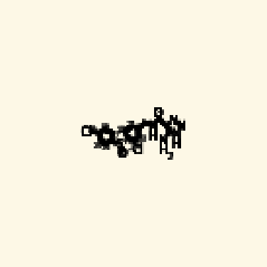 Nc1[nH]nnc1C(=O)NCc1ccc([S+]([O-])c2ccc(Cl)cc2)c(Cl)c1